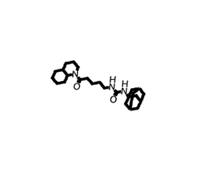 O=C(NCCCCC(=O)N1CCCC2CCCCC21)NC12CC3CC(CC(C3)C1)C2